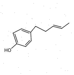 C/C=C/CCc1ccc(O)cc1